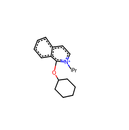 CC(C)[n+]1ccc2ccccc2c1OC1CCCCC1